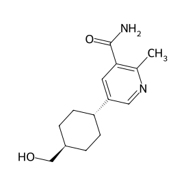 Cc1ncc([C@H]2CC[C@H](CO)CC2)cc1C(N)=O